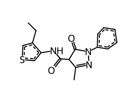 CCc1cscc1NC(=O)C1C(=O)N(c2ccccc2)N=C1C